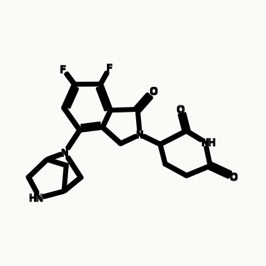 O=C1CCC(N2Cc3c(N4CC5CC4CN5)cc(F)c(F)c3C2=O)C(=O)N1